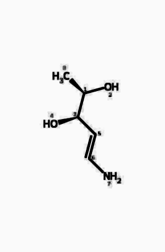 C[C@@H](O)[C@H](O)C=CN